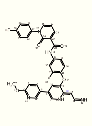 COc1ccc(C2=CN/C(=C\C=N)C(Oc3ccc(NC(=O)c4cccn(-c5ccc(F)cc5)c4=O)cc3F)=C2)cn1